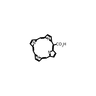 O=C(O)C1=C2C=CC(=N2)C=C2C=CC(=N2)C=C2C=CC(=N2)C=C2C=CC1=N2